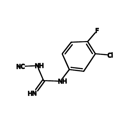 N#CNC(=N)Nc1ccc(F)c(Cl)c1